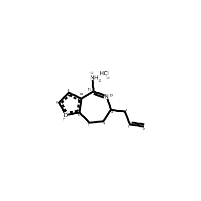 C=CCC1CCc2occc2C(N)=N1.Cl